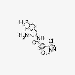 NCCC(Cc1ccc(P)c(I)c1)NC(=O)c1cc2c(s1)OCCn1ncc(Cl)c1-2